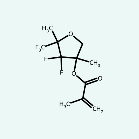 C=C(C)C(=O)OC1(C)COC(C)(C(F)(F)F)C1(F)F